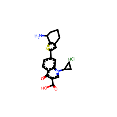 Cl.NC1CCCc2cc(-c3ccc4c(=O)c(C(=O)O)cn(C5CC5)c4c3)sc21